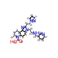 C[C@H]1CCc2c(ccc3c2nc(CCn2cccn2)n3CCNCc2cccnc2)N1C(=O)O